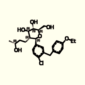 CCOc1ccc(Cc2cc([C@@H]3O[C@H](CO)[C@@H](O)[C@H](O)[C@H]3CC[C@@H](C)O)ccc2Cl)cc1